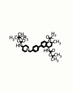 CC(=O)N1c2ccc(-c3ccc(CN4CCC(NC(=O)OC(C)(C)C)CC4)cc3)cc2[C@H](NC(=O)OC(C)C)C[C@@H]1C